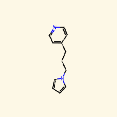 c1ccn(CCCc2ccncc2)c1